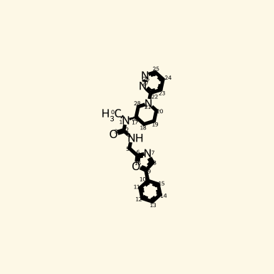 CN(C(=O)NCc1ncc(-c2ccccc2)o1)[C@@H]1CCCN(c2cccnn2)C1